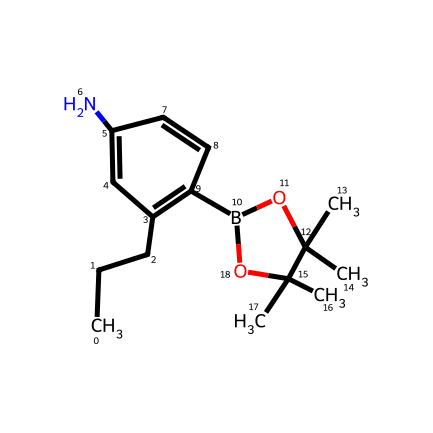 CCCc1cc(N)ccc1B1OC(C)(C)C(C)(C)O1